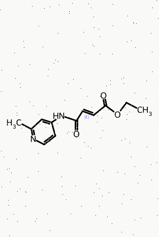 CCOC(=O)/C=C/C(=O)Nc1ccnc(C)c1